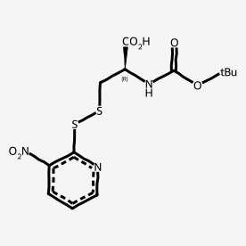 CC(C)(C)OC(=O)N[C@@H](CSSc1ncccc1[N+](=O)[O-])C(=O)O